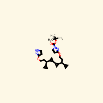 CC(C)(C)OC(=O)n1ccc(OCCC(C2CC2)C2CC2C2CC2C(CCOc2cc[nH]n2)C2CC2)n1